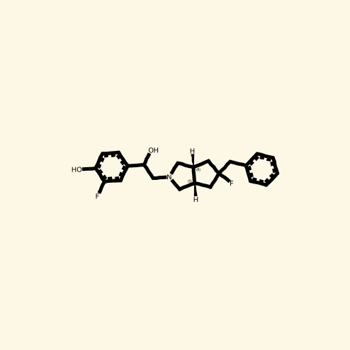 Oc1ccc(C(O)CN2C[C@@H]3CC(F)(Cc4ccccc4)C[C@@H]3C2)cc1F